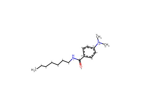 CCCCCCCNC(=O)c1ccc(N(C)C)cc1